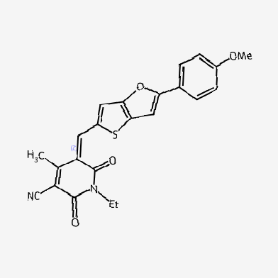 CCN1C(=O)C(C#N)=C(C)/C(=C/c2cc3oc(-c4ccc(OC)cc4)cc3s2)C1=O